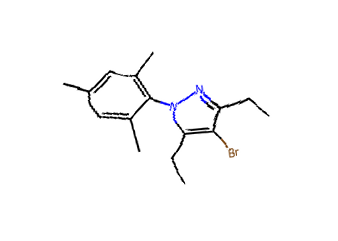 CCc1nn(-c2c(C)cc(C)cc2C)c(CC)c1Br